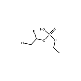 CCOP(O)(=S)OC(F)CCl